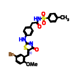 COc1ccc(Br)cc1/C=C1\SC(Nc2ccc(CC(=O)NS(=O)(=O)c3ccc(C)cc3)cc2)=NC1=O